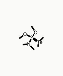 COP(OC)(N(C)C)=[Te](C)C